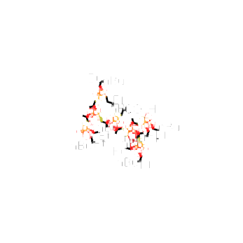 CCCCC(CC)CCP(=O)(OCC(CC)CCCC)SCC(C)OP(=O)(OC(C)CSP(=O)(OCC(CC)CCCC)OCC(CC)CCCC)SCC(C)OP(=O)(OC(C)CSP(=O)(OC(C)CSP(=O)(OCC(CC)CCCC)OCC(CC)CCCC)OC(C)CSP(=O)(OCC(CC)CCCC)OCC(CC)CCCC)SCCC(=O)O